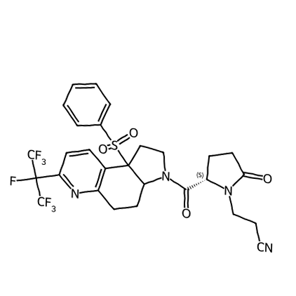 N#CCCN1C(=O)CC[C@H]1C(=O)N1CCC2(S(=O)(=O)c3ccccc3)c3ccc(C(F)(C(F)(F)F)C(F)(F)F)nc3CCC12